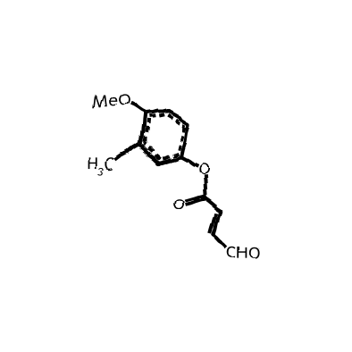 COc1ccc(OC(=O)C=CC=O)cc1C